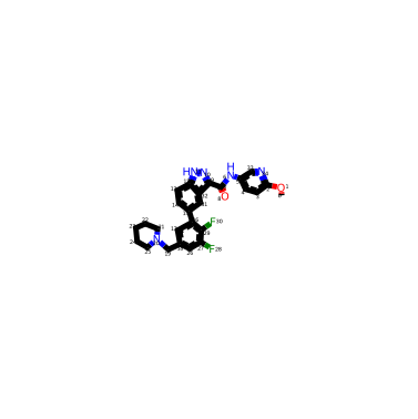 COc1ccc(NC(=O)c2n[nH]c3ccc(-c4cc(CN5CCCCC5)cc(F)c4F)cc23)cn1